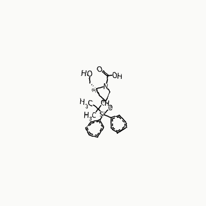 CC(C)(C)[Si](O[C@@H]1C[C@H](CO)N(C(=O)O)C1)(c1ccccc1)c1ccccc1